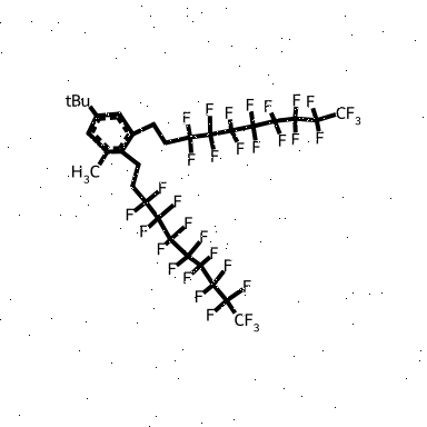 Cc1cc(C(C)(C)C)cc(CCC(F)(F)C(F)(F)C(F)(F)C(F)(F)C(F)(F)C(F)(F)C(F)(F)C(F)(F)F)c1CCC(F)(F)C(F)(F)C(F)(F)C(F)(F)C(F)(F)C(F)(F)C(F)(F)C(F)(F)F